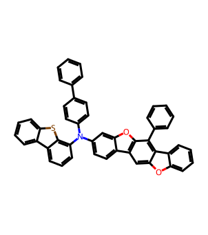 c1ccc(-c2ccc(N(c3ccc4c(c3)oc3c(-c5ccccc5)c5c(cc34)oc3ccccc35)c3cccc4c3sc3ccccc34)cc2)cc1